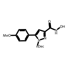 CCCCCCCCCCn1nc(C(=O)NO)cc1-c1ccc(OC)cc1